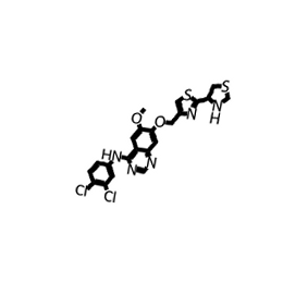 COc1cc2c(Nc3ccc(Cl)c(Cl)c3)ncnc2cc1OCc1csc(C2CSCN2)n1